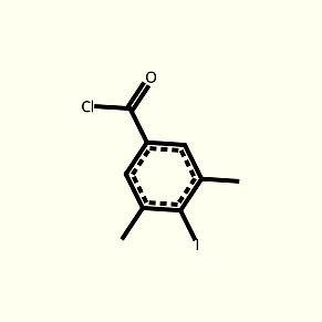 Cc1cc(C(=O)Cl)cc(C)c1I